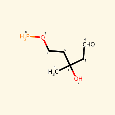 CC(O)(CC=O)CCOP